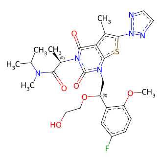 COc1ccc(F)cc1[C@H](Cn1c(=O)n([C@H](C)C(=O)N(C)C(C)C)c(=O)c2c(C)c(-n3nccn3)sc21)OCCO